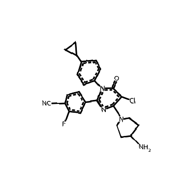 N#Cc1ccc(-c2nc(N3CCC(N)CC3)c(Cl)c(=O)n2-c2ccc(C3CC3)cc2)cc1F